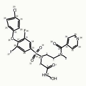 CN(CCN(CC(=O)NO)S(=O)(=O)c1cc(F)c(Oc2ccc(Cl)cc2)c(F)c1)C(=O)c1ccncc1